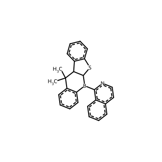 CC1(C)c2ccccc2B(c2nccc3ccccc23)C2Sc3ccccc3C21